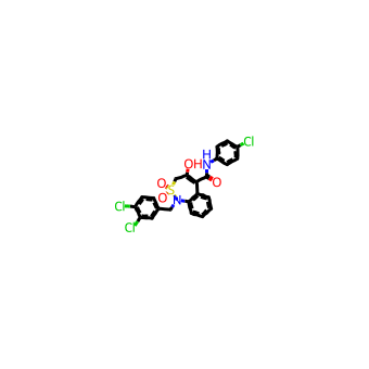 O=C(Nc1ccc(Cl)cc1)C1=C(O)CS(=O)(=O)N(Cc2ccc(Cl)c(Cl)c2)c2ccccc21